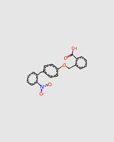 O=C(O)c1ccccc1COc1ccc(-c2ccccc2[N+](=O)[O-])cc1